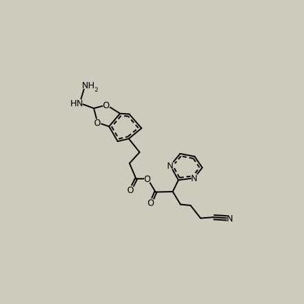 N#CCCCC(C(=O)OC(=O)CCc1ccc2c(c1)OC(NN)O2)c1ncccn1